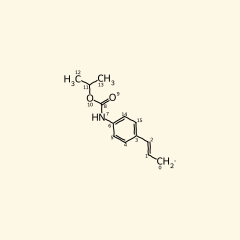 [CH2]/C=C/c1ccc(NC(=O)OC(C)C)cc1